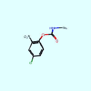 CC(C)(C)NC(=O)Oc1ccc(Cl)cc1[N+](=O)[O-]